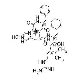 CC(C)[C@@H](CCNC(=N)N)C[C@H](O)[C@H](CC1CCCCC1)NC(=O)[C@H](Cc1c[nH]cn1)NC(=O)[C@H](Cc1ccccc1)NC(=O)O.Cl